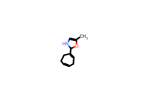 CC1=CNC(C2=CCC=CCC2)O1